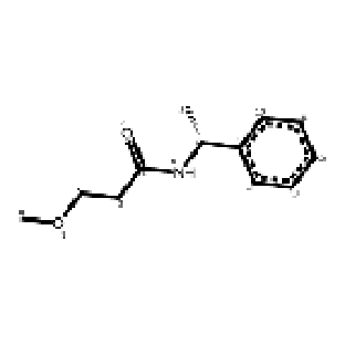 COCCC(=O)N[C@H](C)c1cc[c]cc1